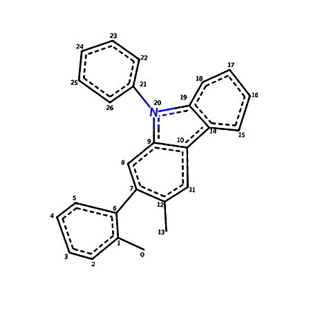 Cc1ccccc1-c1cc2c(cc1C)c1ccccc1n2-c1ccccc1